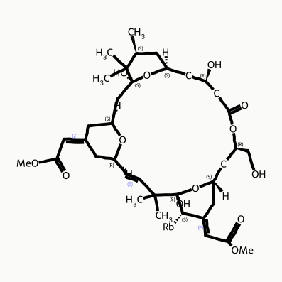 COC(=O)/C=C1/C[C@H]2C[C@]3(O)O[C@H](C[C@@H](O)CC(=O)O[C@@H](CO)C[C@@H]4C/C(=C\C(=O)OC)[C@H]([Rb])[C@@](O)(O4)C(C)(C)/C=C/[C@@H](C1)O2)C[C@H](C)C3(C)C